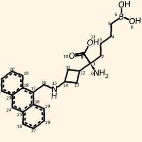 N[C@](CCCCB(O)O)(C(=O)O)C1CC(NCc2c3ccccc3cc3ccccc23)C1